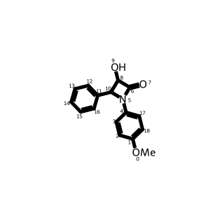 COc1ccc(N2C(=O)C(O)C2c2ccccc2)cc1